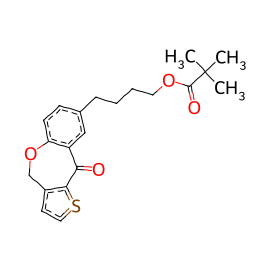 CC(C)(C)C(=O)OCCCCc1ccc2c(c1)C(=O)c1sccc1CO2